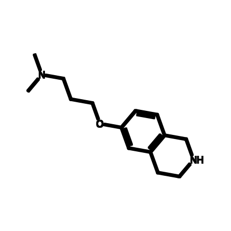 CN(C)CCCOc1ccc2c(c1)CCNC2